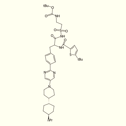 CCC[C@H]1CC[C@H](C2CCN(c3cnc(-c4ccc(CC(NC(=O)c5ccc(C(C)(C)C)s5)C(=O)NS(=O)(=O)CCNC(=O)OC(C)(C)C)cc4)nc3)CC2)CC1